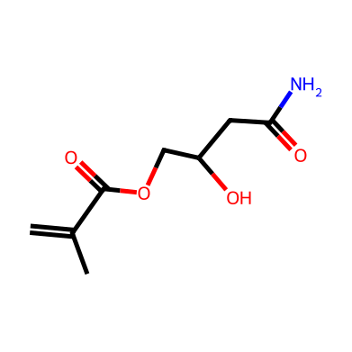 C=C(C)C(=O)OCC(O)CC(N)=O